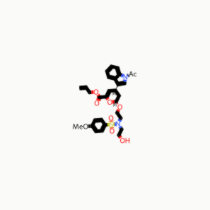 C=CCOC(=O)C1=C[C@H](c2cn(C(C)=O)c3ccccc23)C[C@H](OCCN(CCO)S(=O)(=O)c2ccc(OC)cc2)O1